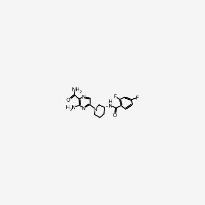 NC(=O)c1ncc(N2CCC[C@@H](NC(=O)c3ccc(F)cc3F)C2)nc1N